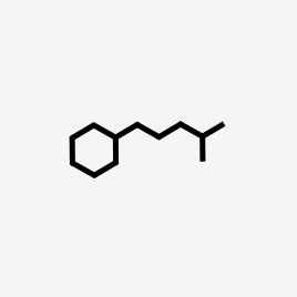 CC(C)[CH]CCC1CCCCC1